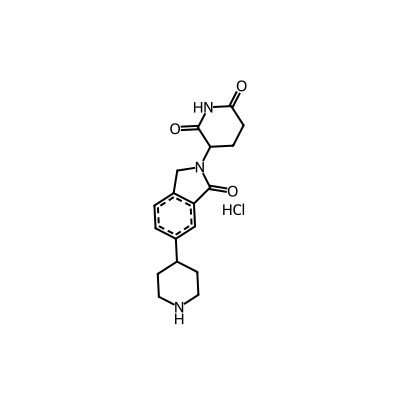 Cl.O=C1CCC(N2Cc3ccc(C4CCNCC4)cc3C2=O)C(=O)N1